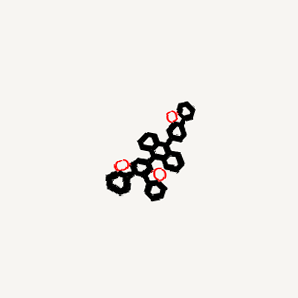 c1ccc2c(c1)oc1cc(-c3c4ccccc4c(-c4cc5oc6ccccc6c5c5c4oc4ccccc45)c4ccccc34)ccc12